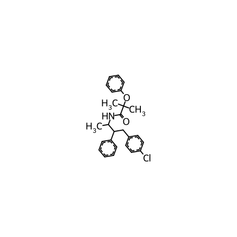 CC(NC(=O)C(C)(C)Oc1ccccc1)C(Cc1ccc(Cl)cc1)c1ccccc1